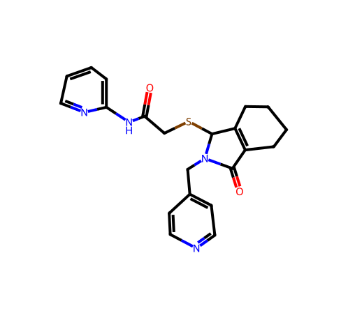 O=C(CSC1C2=C(CCCC2)C(=O)N1Cc1ccncc1)Nc1ccccn1